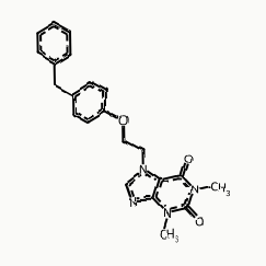 Cn1c(=O)c2c(ncn2CCOc2ccc(Cc3ccccc3)cc2)n(C)c1=O